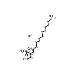 CCCCCCCCCCCCCCC(CO)[N+](C)(C)C.[Br-]